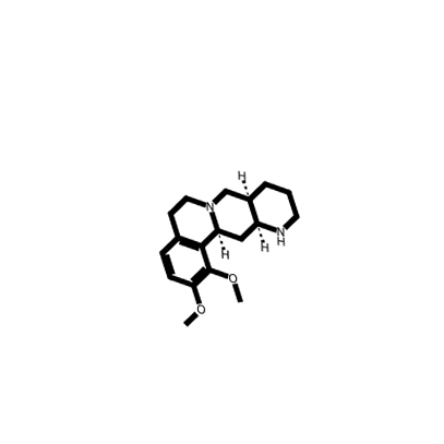 COc1ccc2c(c1OC)[C@@H]1C[C@@H]3NCCC[C@@H]3CN1CC2